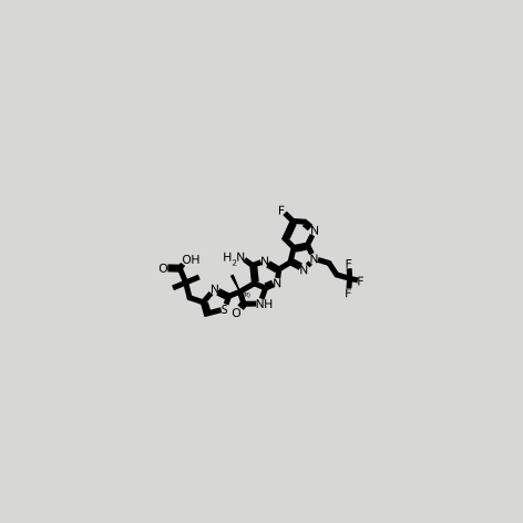 CC(C)(Cc1csc([C@@]2(C)C(=O)Nc3nc(-c4nn(CCC(F)(F)F)c5ncc(F)cc45)nc(N)c32)n1)C(=O)O